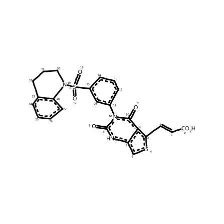 O=C(O)C=Cc1scc2[nH]c(=O)n(-c3cccc(S(=O)(=O)N4CCCc5ccccc54)c3)c(=O)c12